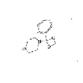 [CH]1CNCCN1C1(c2ccccc2)OCO1